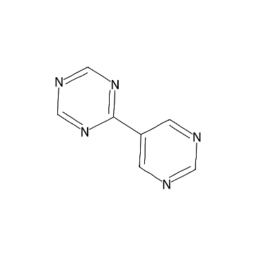 c1ncc(-c2ncncn2)cn1